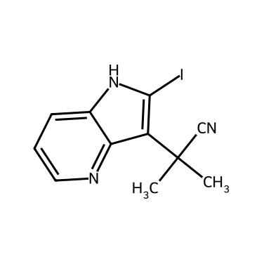 CC(C)(C#N)c1c(I)[nH]c2cccnc12